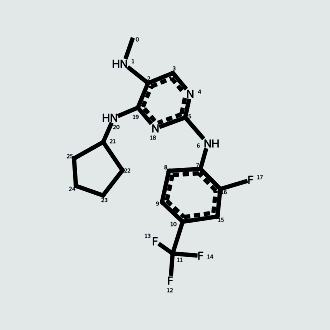 CNc1cnc(Nc2ccc(C(F)(F)F)cc2F)nc1NC1CCCC1